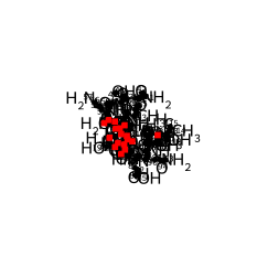 CC(C)C[C@H](NC(=O)[C@H](CC(=O)O)NC(=O)[C@@H](N)CO)C(=O)N[C@@H](CCC(N)=O)C(=O)N[C@@H](C)C(=O)N[C@@H](CCC(N)=O)C(=O)N[C@@H](CO)C(=O)N[C@@H](CCCCN)C(=O)NCC(=O)N[C@@H](CC(N)=O)C(=O)N1CCC[C@H]1C(=O)N[C@@H](CCC(=O)O)C(=O)N[C@@H](CCC(N)=O)C(=O)N[C@H](C(=O)N1CCC[C@H]1C(=O)N[C@H](C(=O)O)C(C)C)[C@@H](C)O